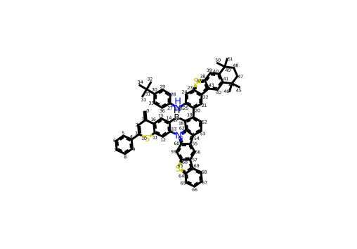 C=C1C=C(c2ccccc2)Sc2cc3c(cc21)Bc1c(-c2cc4c(cc2Nc2ccc(C(C)(C)C)cc2)sc2cc5c(cc24)C(C)(C)CCC5(C)C)ccc2c4cc5c(cc4n-3c12)sc1ccccc15